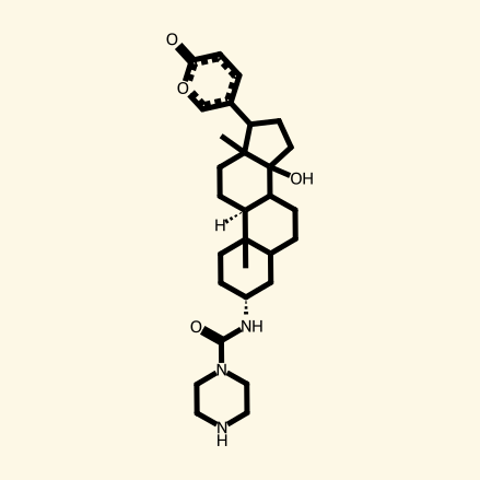 CC12CC[C@@H](NC(=O)N3CCNCC3)CC1CCC1[C@@H]2CCC2(C)C(c3ccc(=O)oc3)CCC12O